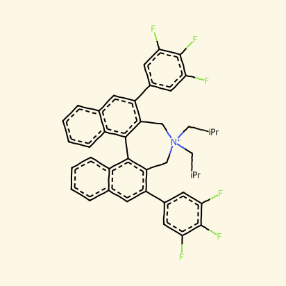 CC(C)C[N+]1(CC(C)C)Cc2c(-c3cc(F)c(F)c(F)c3)cc3ccccc3c2-c2c(c(-c3cc(F)c(F)c(F)c3)cc3ccccc23)C1